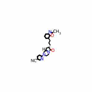 Cc1nc2cccc(CCC[C@H]3C[C@H]4CN(c5ccc(C#N)cn5)CCN4C3=O)c2o1